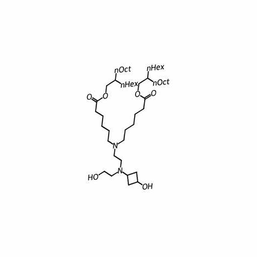 CCCCCCCCC(CCCCCC)COC(=O)CCCCCN(CCCCCC(=O)OCC(CCCCCC)CCCCCCCC)CCN(CCO)C1CC(O)C1